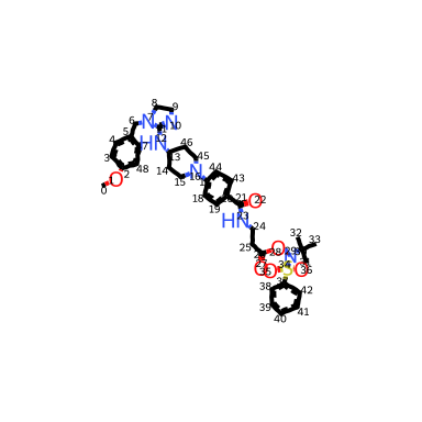 COc1ccc(CN2CCN=C2NC2CCN(c3ccc(C(=O)NCCC(=O)ON(C(C)(C)C)S(=O)(=O)c4ccccc4)cc3)CC2)cc1